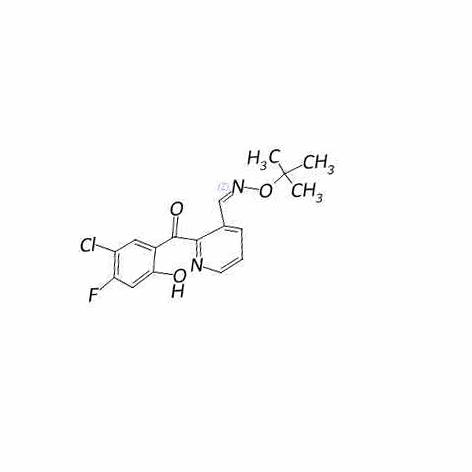 CC(C)(C)O/N=C\c1cccnc1C(=O)c1cc(Cl)c(F)cc1O